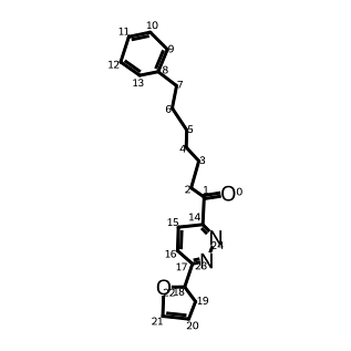 O=C(CCCCCCc1ccccc1)c1ccc(C2CC=CO2)nn1